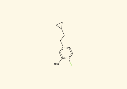 CC(C)(C)c1cc(CCC2CC2)ccc1F